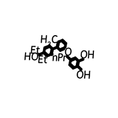 CCCc1cc(C(O)(CC)CC)ccc1-c1cc(OCc2ccc(CO)c(CO)c2)ccc1C